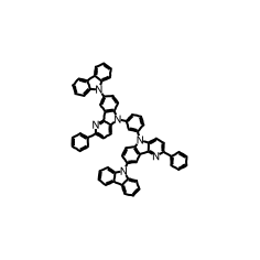 c1ccc(-c2ccc3c(n2)c2cc(-n4c5ccccc5c5ccccc54)ccc2n3-c2cccc(-n3c4ccc(-n5c6ccccc6c6ccccc65)cc4c4nc(-c5ccccc5)ccc43)c2)cc1